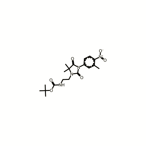 Cc1cc(N2C(=O)N(CCNC(=O)OC(C)(C)C)C(C)(C)C2=O)ccc1[N+](=O)[O-]